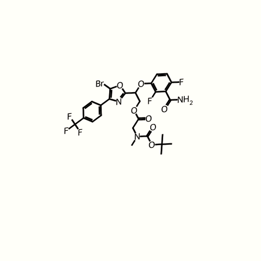 CN(CC(=O)OCC(Oc1ccc(F)c(C(N)=O)c1F)c1nc(-c2ccc(C(F)(F)F)cc2)c(Br)o1)C(=O)OC(C)(C)C